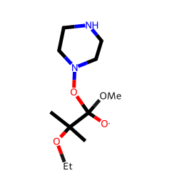 CCOC(C)(C)C([O])(OC)ON1CCNCC1